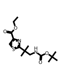 CCOC(=O)c1csc(C(C)(C)CNC(=O)OC(C)(C)C)n1